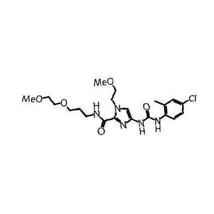 COCCOCCCNC(=O)c1nc(NC(=O)Nc2ccc(Cl)cc2C)cn1CCOC